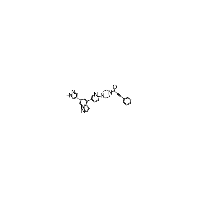 Cn1cc(-c2cc(-c3ccc(N4CCN(C(=O)C#Cc5ccccc5)CC4)nc3)c3ccnn3c2)cn1